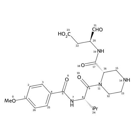 COc1ccc(C(=O)N[C@H](C(=O)N2CCNC[C@H]2C(=O)N[C@H](C=O)CC(=O)O)C(C)C)cc1